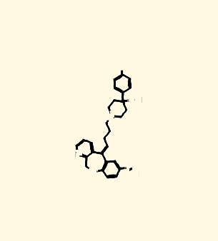 COc1ccc2c(c1)/C(=C/CCCN1CCC(O)(c3ccc(F)cc3)CC1)c1cccnc1CO2